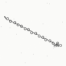 C#CCOCCOCCOCCOCCOCCOCCOCCOCCOCCOCCOCCOCCOCCOCCC(=O)NC1CCCC1